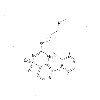 COCCCNC1=NS(=O)(=O)c2cccc(-c3cccc(F)c3Cl)c2N1